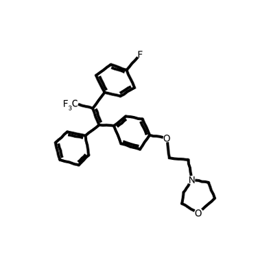 Fc1ccc(C(=C(c2ccccc2)c2ccc(OCCN3CCOCC3)cc2)C(F)(F)F)cc1